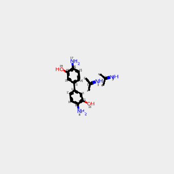 CC(C)=N.CC(C)=N.Nc1ccc(-c2ccc(N)c(O)c2)cc1O